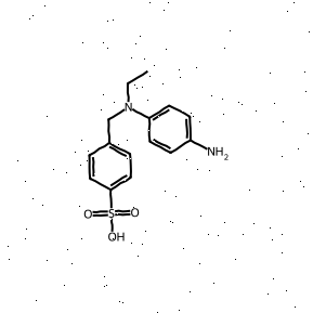 CCN(Cc1ccc(S(=O)(=O)O)cc1)c1ccc(N)cc1